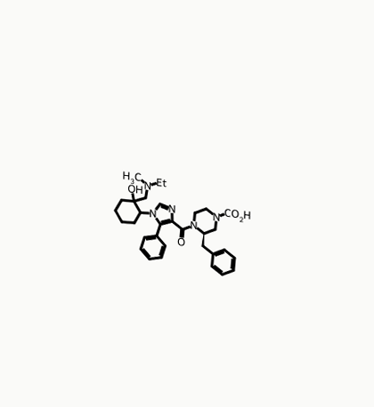 CCN(C)CC1(O)CCCCC1n1cnc(C(=O)N2CCN(C(=O)O)C[C@H]2Cc2ccccc2)c1-c1ccccc1